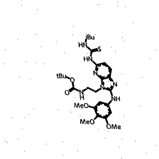 CCC(C)NC(=S)Nc1ccc2nc(Nc3cc(OC)c(OC)c(OC)c3)n(CCNC(=O)OC(C)(C)C)c2n1